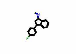 CN=C1CC(c2ccc(F)cc2)c2ccccc21